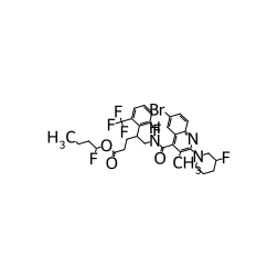 CCCC(F)OC(=O)CCC(CNC(=O)c1c(C)c(N2CCCC(F)C2)nc2ccc(Br)cc12)c1c(F)cccc1C(F)(F)F